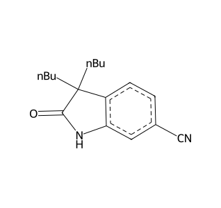 CCCCC1(CCCC)C(=O)Nc2cc(C#N)ccc21